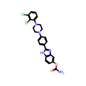 NC(=O)Oc1ccc2[nH]c(-c3ccc(N4CCN(c5cccc(Cl)c5Cl)CC4)cc3)nc2c1